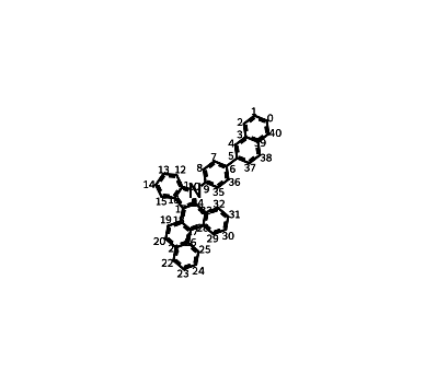 c1ccc2cc(-c3ccc(-n4c5ccccc5c5c6ccc7ccccc7c6c6ccccc6c54)cc3)ccc2c1